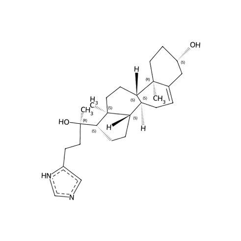 C[C@]12CC[C@H]3[C@@H](CC=C4C[C@@H](O)CC[C@@]43C)[C@@H]1CC[C@@H]2[C@](C)(O)CCc1cnc[nH]1